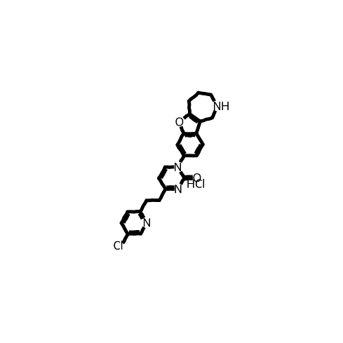 Cl.O=c1nc(CCc2ccc(Cl)cn2)ccn1-c1ccc2c3c(oc2c1)CCCNC3